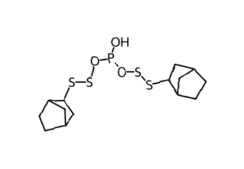 OP(OSSC1CC2CCC1C2)OSSC1CC2CCC1C2